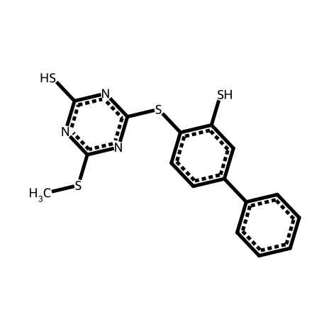 CSc1nc(S)nc(Sc2ccc(-c3ccccc3)cc2S)n1